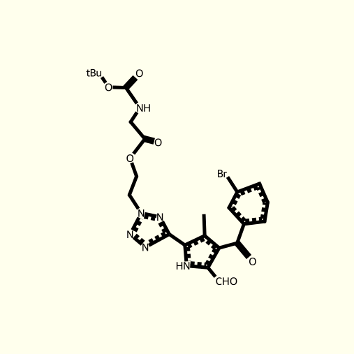 Cc1c(-c2nnn(CCOC(=O)CNC(=O)OC(C)(C)C)n2)[nH]c(C=O)c1C(=O)c1cccc(Br)c1